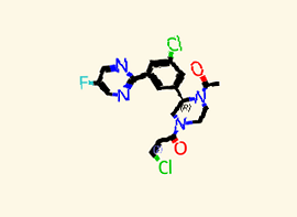 CC(=O)N1CCN(C(=O)/C=C\Cl)C[C@H]1c1cc(Cl)cc(-c2ncc(F)cn2)c1